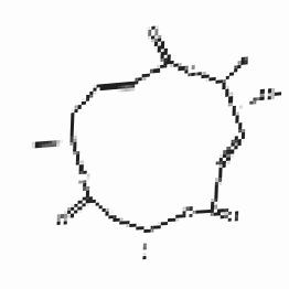 C[C@@H]1CC(=O)O[C@@H](C)C/C=C/C(=O)O[C@@H](C)[C@H](O)/C=C/C(=O)O1